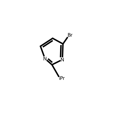 CC(C)c1nccc(Br)n1